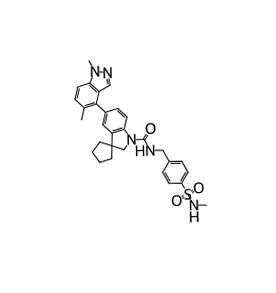 CNS(=O)(=O)c1ccc(CNC(=O)N2CC3(CCCC3)c3cc(-c4c(C)ccc5c4cnn5C)ccc32)cc1